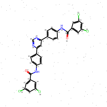 O=C(Nc1ccc(-c2cc(-c3ccc(NC(=O)c4cc(Cl)cc(Cl)c4)cc3)ncn2)cc1)c1cc(Cl)cc(Cl)c1